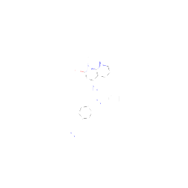 CC1CN(c2cc(=O)n(C)c3ncccc23)CC2c3ccc(C4CCNC4)cc3CN12